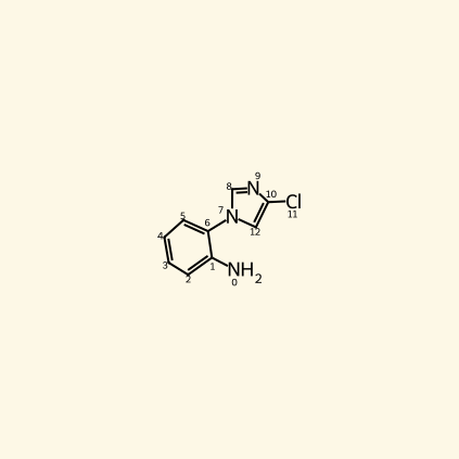 Nc1ccccc1-n1cnc(Cl)c1